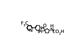 CC(C)[C@]1(C(=O)N2CC=C(c3cc(C(F)(F)F)ccn3)CC2)CC[C@@H](NC(=O)O)C1